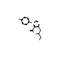 N#Cc1ccc(-n2cnc3c2C(=O)OC(CI)C3)cc1